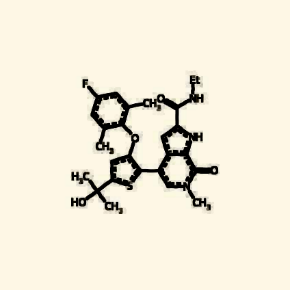 CCNC(=O)c1cc2c(-c3sc(C(C)(C)O)cc3Oc3c(C)cc(F)cc3C)cn(C)c(=O)c2[nH]1